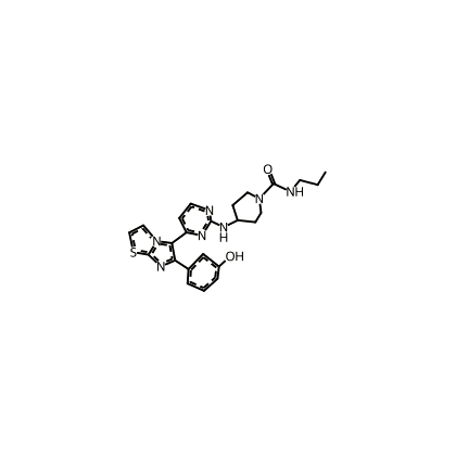 CCCNC(=O)N1CCC(Nc2nccc(-c3c(-c4cccc(O)c4)nc4sccn34)n2)CC1